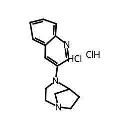 Cl.Cl.c1ccc2ncc(N3CCN4CCC3C4)cc2c1